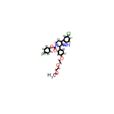 COCCOCCOc1ccc(C2c3[nH]c4ccc(Cl)cc4c3CCN2C(=O)Oc2ccc(F)cc2)cc1